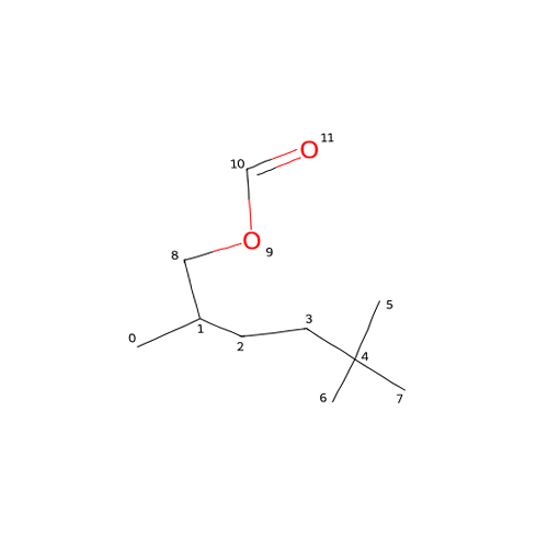 CC(CCC(C)(C)C)COC=O